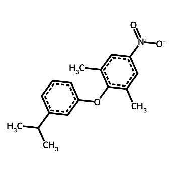 Cc1cc([N+](=O)[O-])cc(C)c1Oc1cccc(C(C)C)c1